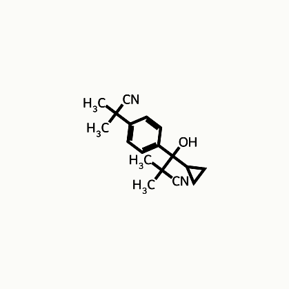 CC(C)(C#N)c1ccc(C(O)(C2CC2)C(C)(C)C#N)cc1